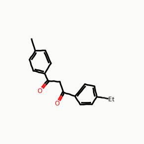 CCc1ccc(C(=O)CC(=O)c2ccc(C)cc2)cc1